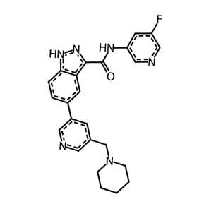 O=C(Nc1cncc(F)c1)c1n[nH]c2ccc(-c3cncc(CN4CCCCC4)c3)cc12